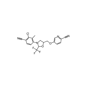 Cc1c(N2CC(COc3ccc(C#N)nc3)OC2C(F)(F)F)ccc(C#N)c1Cl